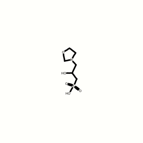 O=S(=O)(O)CC(O)CN1CCOC1